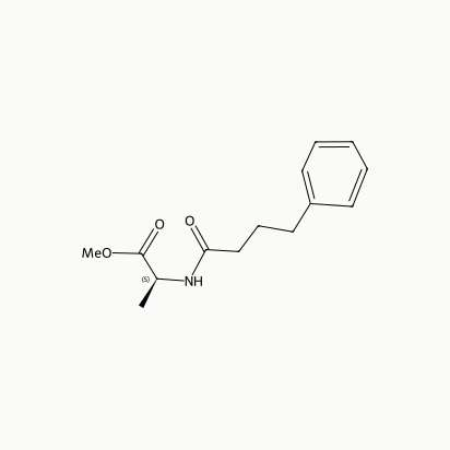 COC(=O)[C@H](C)NC(=O)CCCc1ccccc1